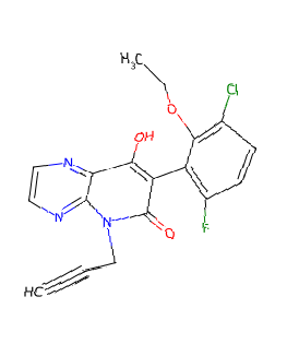 C#CCn1c(=O)c(-c2c(F)ccc(Cl)c2OCC)c(O)c2nccnc21